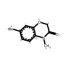 CN1C(=O)COc2cc(C(C)(C)C)ccc21